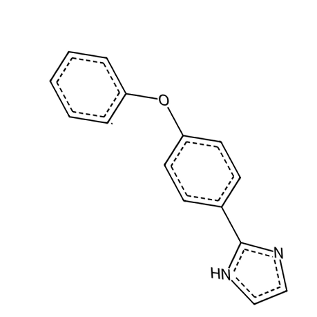 [c]1ccccc1Oc1ccc(-c2ncc[nH]2)cc1